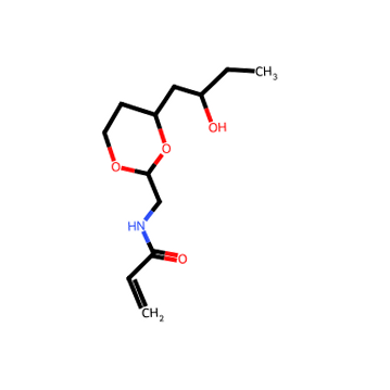 C=CC(=O)NCC1OCCC(CC(O)CC)O1